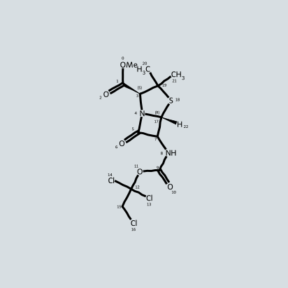 COC(=O)[C@@H]1N2C(=O)C(NC(=O)OC(Cl)(Cl)CCl)[C@H]2SC1(C)C